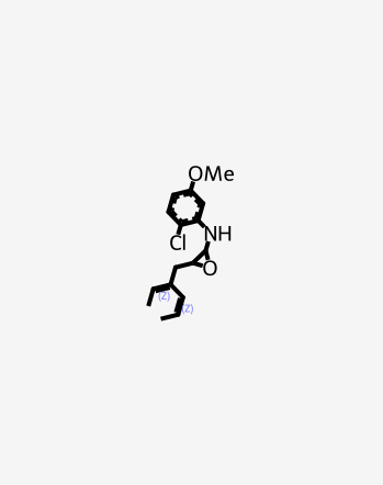 C/C=C\C(=C/C)CC1OC1Nc1cc(OC)ccc1Cl